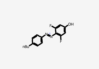 CCCCc1ccc(/N=N/c2c(F)cc(O)cc2F)cc1